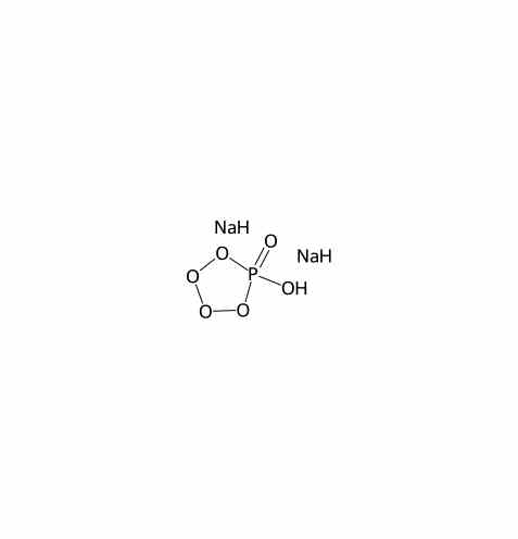 O=P1(O)OOOO1.[NaH].[NaH]